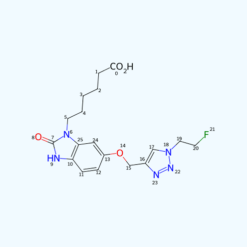 O=C(O)CCCCCn1c(=O)[nH]c2ccc(OCc3cn(CCF)nn3)cc21